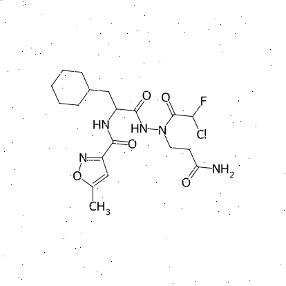 Cc1cc(C(=O)NC(CC2CCCCC2)C(=O)NN(CCC(N)=O)C(=O)C(F)Cl)no1